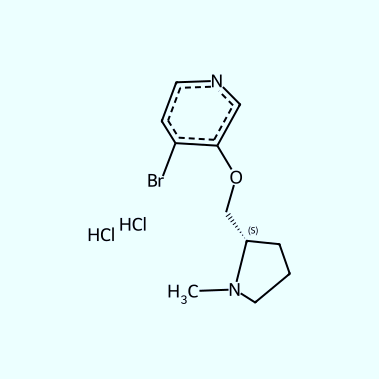 CN1CCC[C@H]1COc1cnccc1Br.Cl.Cl